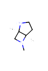 CN1C[C@H]2NCC[C@H]21